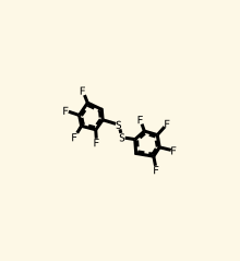 Fc1cc(SSc2cc(F)c(F)c(F)c2F)c(F)c(F)c1F